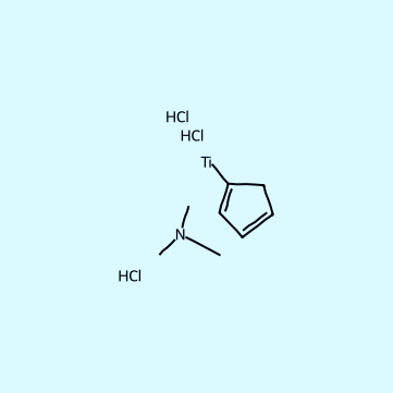 CN(C)C.Cl.Cl.Cl.[Ti][C]1=CC=CC1